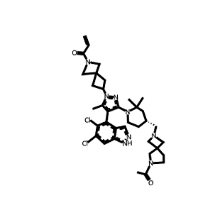 C=CC(=O)N1CC2(CC(n3nc(N4CC[C@@H](CN5CC6(CCN(C(C)=O)C6)C5)CC4(C)C)c(-c4c(Cl)c(Cl)cc5[nH]ncc45)c3C)C2)C1